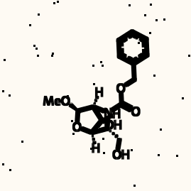 CO[C@@H]1O[C@H]2[C@@H](O)[C@@H]1N(C(=O)OCc1ccccc1)[C@@H]2CO